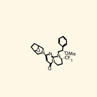 CO[C@H](CN1c2nc(N3CC4CCC(C3)O4)cc(=O)n2CC[C@H]1C(F)(F)F)c1ccccc1